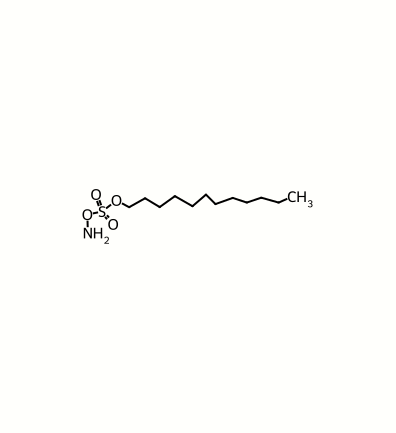 CCCCCCCCCCCCOS(=O)(=O)ON